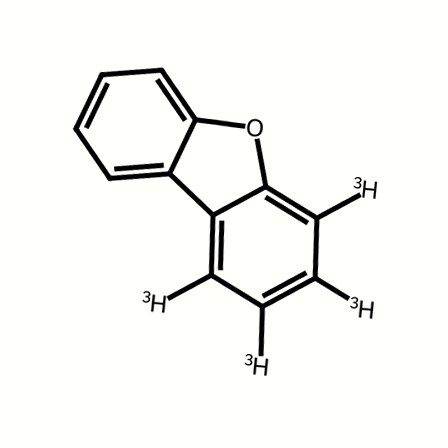 [3H]c1c([3H])c([3H])c2c(oc3ccccc32)c1[3H]